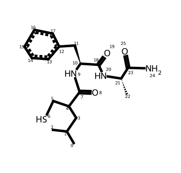 CC(C)CC(CS)C(=O)N[C@@H](Cc1ccccc1)C(=O)N[C@@H](C)C(N)=O